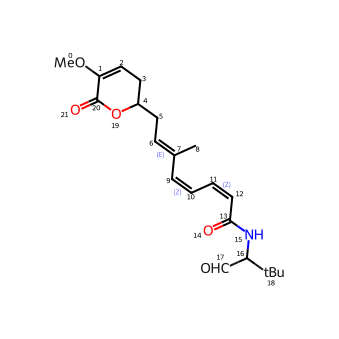 COC1=CCC(C/C=C(C)/C=C\C=C/C(=O)NC(C=O)C(C)(C)C)OC1=O